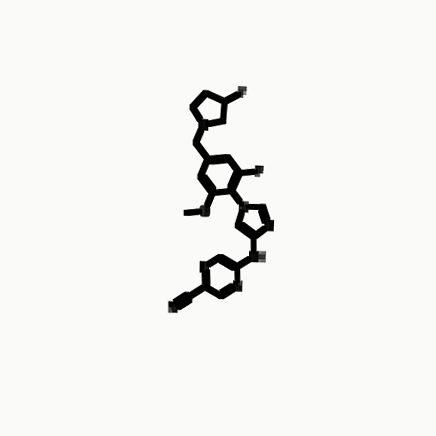 COc1cc(CN2CCC(F)C2)cc(F)c1-n1cnc(Nc2cnc(C#N)cn2)c1